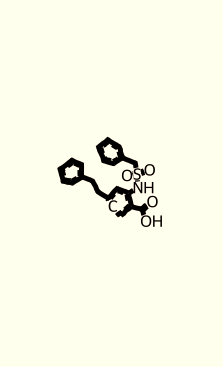 O=C(O)c1ccc(CCc2ccccc2)cc1NS(=O)(=O)Cc1ccccc1